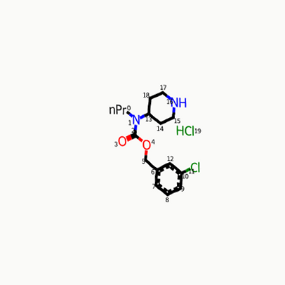 CCCN(C(=O)OCc1cccc(Cl)c1)C1CCNCC1.Cl